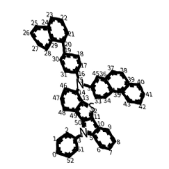 c1ccc(-n2c3ccccc3c3sc4c(N(c5ccc(-c6cccc7ccccc67)cc5)c5ccc6c(ccc7ccccc76)c5)cccc4c32)cc1